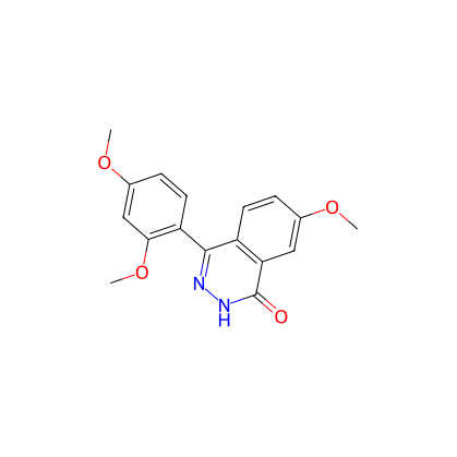 COc1ccc(-c2n[nH]c(=O)c3cc(OC)ccc23)c(OC)c1